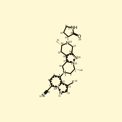 C[C@@H]1CN(c2ccc(C#N)n3ncc(F)c23)Cc2c3c(nn21)CN([C@@H]1CCNC1=O)[C@@H](C)C3